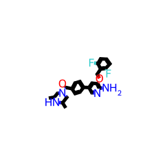 CC1CN(C(=O)c2ccc(-c3cnc(N)c(OCc4c(F)cccc4F)c3)cc2)CC(C)N1